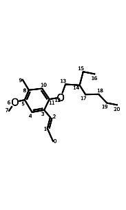 CC=Cc1cc(OC)c(C)cc1OCC(CC)CCCC